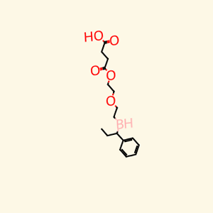 CCC(BCCOCCOC(=O)CCC(=O)O)c1ccccc1